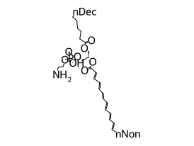 CCCCCCCCCC=CC=CC=CC=CC=CC=CC(=O)O[C@H](COC(=O)CCCCCCCCCCCCCCC)COP(=O)(O)OCCN